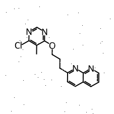 Cc1c(Cl)ncnc1OCCCc1ccc2cccnc2n1